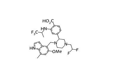 COc1cc(C)c2[nH]ccc2c1CN1CCN(CC(F)F)CC1c1ccc(C(=O)O)c(NC(C)C(F)(F)F)c1